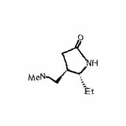 CC[C@H]1NC(=O)C[C@@H]1CNC